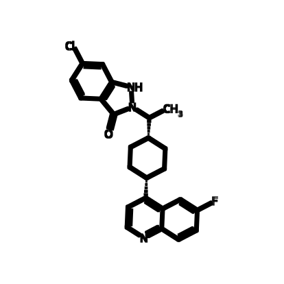 CC([C@H]1CC[C@@H](c2ccnc3ccc(F)cc32)CC1)n1[nH]c2cc(Cl)ccc2c1=O